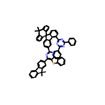 CC1(C)c2ccccc2-c2ccc(-c3nc(-c4ccc5c(c4)-c4c(-c6nc(-c7ccccc7)nc(-c7ccccc7)n6)cccc4C54c5ccccc5C(C)(C)c5ccccc54)nc4c3sc3ccccc34)cc21